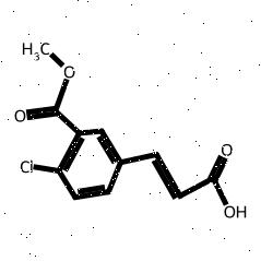 COC(=O)c1cc(C=CC(=O)O)ccc1Cl